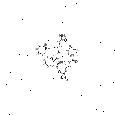 NC(=O)CCCCC(=O)N1CCCCCC1.NC(=O)CCCCCCC1(C(N)=O)CCCCCC1.O=C1CCCCCN1